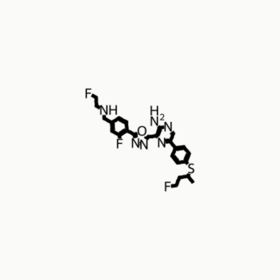 CC(CCF)Sc1ccc(-c2cnc(N)c(-c3nnc(-c4ccc(CNCCF)cc4F)o3)n2)cc1